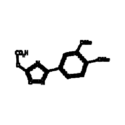 COc1ccc(-c2noc(OC(=O)O)n2)cc1OC